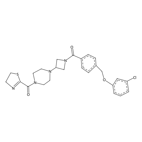 O=C(C1=NCCS1)N1CCN(C2CN(C(=O)c3ccc(COc4cccc(Cl)c4)cc3)C2)CC1